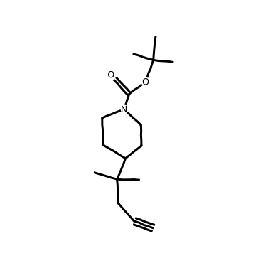 C#CCC(C)(C)C1CCN(C(=O)OC(C)(C)C)CC1